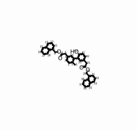 Cc1ccc(CC(=O)OCc2cccc3ccccc23)cc1-c1cc(CC(=O)OCc2cccc3ccccc23)ccc1O